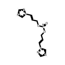 O=[PH](OC/C=C/n1cncn1)OC/C=C/n1cncn1